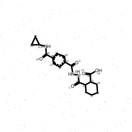 O=C(NNC(=O)C1CCCCC1C(=O)O)c1ccc(C(=O)NC2CC2)cc1